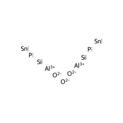 [Al+3].[Al+3].[O-2].[O-2].[O-2].[P].[P].[Si].[Si].[Sn].[Sn]